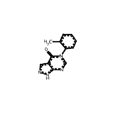 Cc1ccccc1-n1cnc2[nH]ncc2c1=O